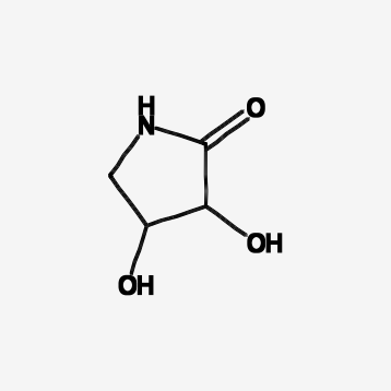 O=C1NCC(O)C1O